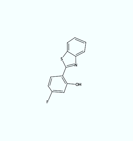 Oc1cc(F)ccc1-c1nc2ccccc2s1